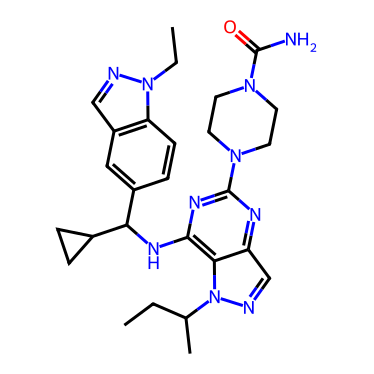 CCC(C)n1ncc2nc(N3CCN(C(N)=O)CC3)nc(NC(c3ccc4c(cnn4CC)c3)C3CC3)c21